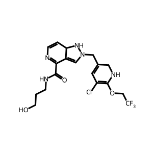 O=C(NCCCO)C1=NC=CC2NN(CC3=CC(Cl)=C(OCC(F)(F)F)NC3)C=C12